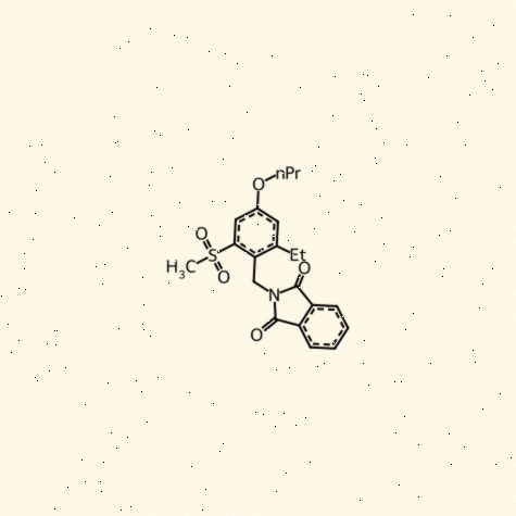 CCCOc1cc(CC)c(CN2C(=O)c3ccccc3C2=O)c(S(C)(=O)=O)c1